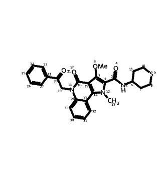 COc1c(C(=O)NC2CCSCC2)n(C)c2c1c(=O)n(CC(=O)c1ccccc1)c1ccccc21